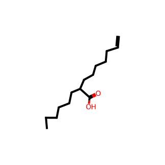 C=CCCCCCC(CCCCCC)C(=O)O